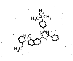 C=Cc1ccccc1-c1ccc2ccc(-c3nc(-c4ccccc4)nc(-c4ccc(C(C)(C)C)cc4)n3)cc2c1C